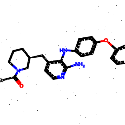 CCC(=O)N1CCC[C@@H](Cc2ccnc(N)c2Nc2ccc(Oc3ccccc3)cc2)C1